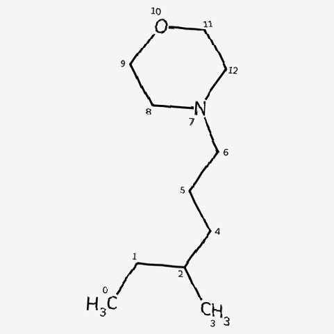 CCC(C)CCCN1CCOCC1